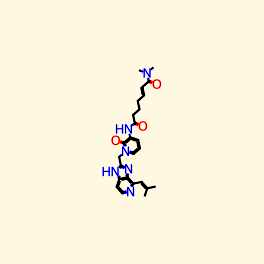 CC(C)=Cc1nccc2[nH]c(Cn3cccc(NC(=O)CCC/C=C/C(=O)N(C)C)c3=O)nc12